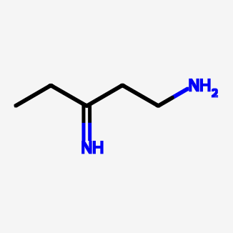 CCC(=N)CCN